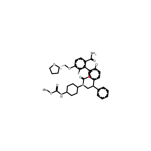 CC(C)(C)OC(=O)NC1CCC(N(CC(c2ccccc2)c2ccc(Cl)c(-c3c(C(N)=O)ccc(OC[C@@H]4CCCO4)c3F)c2)C(=O)OC(C)(C)C)CC1